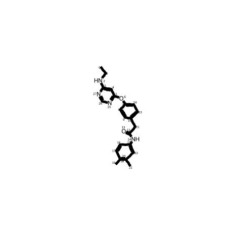 CCNc1cc(Oc2ccc(CC(=O)Nc3ccc(C)c(C)c3)cc2)ncn1